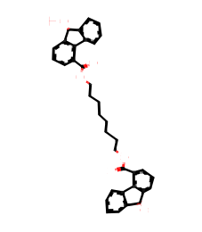 O=C(OCCCCCCCCOC(=O)c1cccc2c1-c1ccccc1C2O)c1cccc2c1-c1ccccc1C2=O